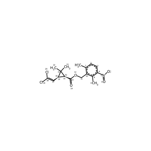 Cc1ccc([N+](=O)[O-])c(C)c1COC(=O)[C@H]1[C@@H](C=C(Cl)Cl)C1(C)C